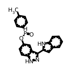 Cc1ccc([PH](=O)Oc2ccc3[nH]nc(-c4cc5ccccc5[nH]4)c3c2)cc1